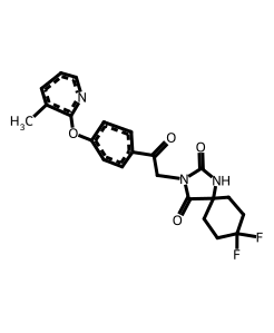 Cc1cccnc1Oc1ccc(C(=O)CN2C(=O)NC3(CCC(F)(F)CC3)C2=O)cc1